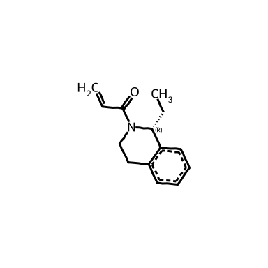 C=CC(=O)N1CCc2ccccc2[C@H]1CC